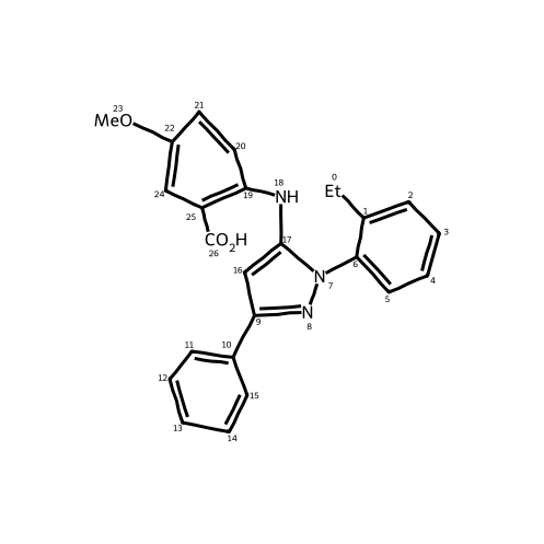 CCc1ccccc1-n1nc(-c2ccccc2)cc1Nc1ccc(OC)cc1C(=O)O